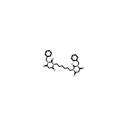 O=C1CC(=O)N(Cc2ccccc2)C(=O)N1CCCCCCN1C(=O)CC(=O)N(Cc2ccccc2)C1=O